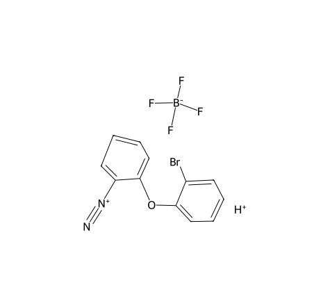 F[B-](F)(F)F.N#[N+]c1ccccc1Oc1ccccc1Br.[H+]